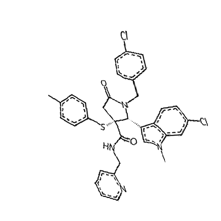 Cc1ccc(S[C@]2(C(=O)NCc3ccccn3)CC(=O)N(Cc3ccc(Cl)cc3)[C@@H]2c2cn(C)c3cc(Cl)ccc23)cc1